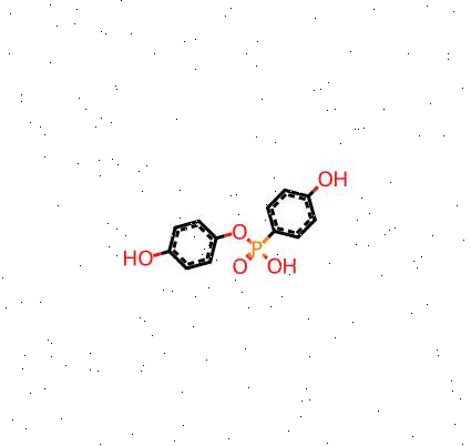 O=P(O)(Oc1ccc(O)cc1)c1ccc(O)cc1